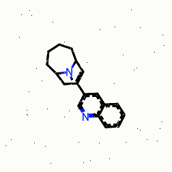 CN1C2C=C(c3cnc4ccccc4c3)CC1CCCC2